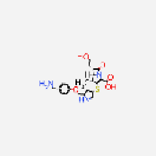 C[C@H]1C(S[C@@H]2CNC(COc3ccc(CN)cc3)C2)=C(C(=O)O)N2C(=O)[C@@H](CCO)[C@H]12